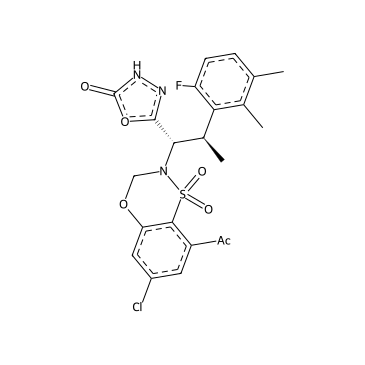 CC(=O)c1cc(Cl)cc2c1S(=O)(=O)N([C@H](c1n[nH]c(=O)o1)[C@H](C)c1c(F)ccc(C)c1C)CO2